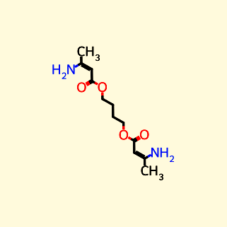 C/C(N)=C/C(=O)OCCCCOC(=O)/C=C(/C)N